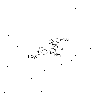 CCCCc1ccc(-n2ccc(C)n2)c([C@@H](Oc2cc(N3CCC4(CC3)CC(C(=O)O)NC4CC)nc(N)n2)C(F)(F)F)c1